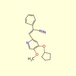 COc1cnc(C=C(C#N)c2ccccc2)cc1OC1CCCC1